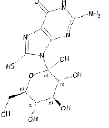 Nc1nc2c(nc(S)n2[C@]2(O)O[C@H](CO)[C@@H](O)[C@H](O)[C@H]2O)c(=O)[nH]1